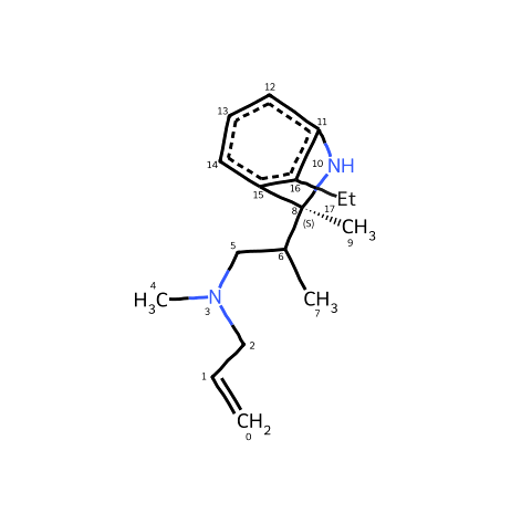 C=CCN(C)CC(C)[C@]1(C)Nc2cccc1c2CC